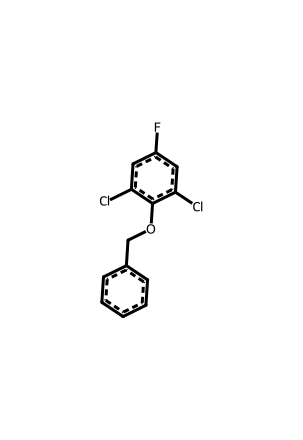 Fc1cc(Cl)c(OCc2ccccc2)c(Cl)c1